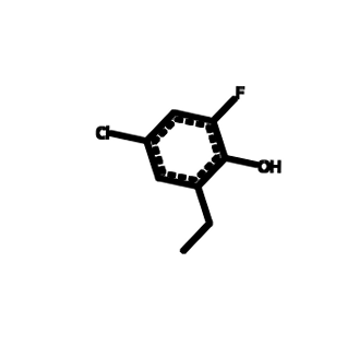 CCc1cc(Cl)cc(F)c1O